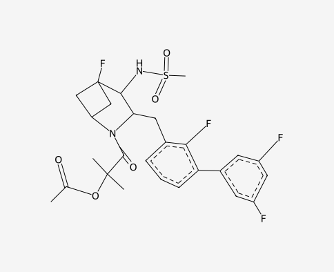 CC(=O)OC(C)(C)C(=O)N1C2CC(F)(C2)C(NS(C)(=O)=O)C1Cc1cccc(-c2cc(F)cc(F)c2)c1F